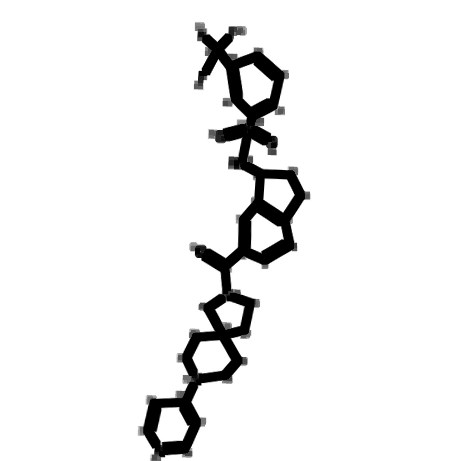 O=C(c1ccc2c(c1)C(NS(=O)(=O)c1cccc(C(F)(F)F)c1)CC2)N1CCC2(CCN(c3ccncc3)CC2)C1